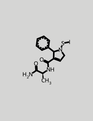 C[C@H](NC(=O)C1=CCN(SI)C1c1ccccc1)C(N)=O